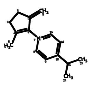 C=C1CCC(C)=C1[n+]1ccc(C(C)C)cc1